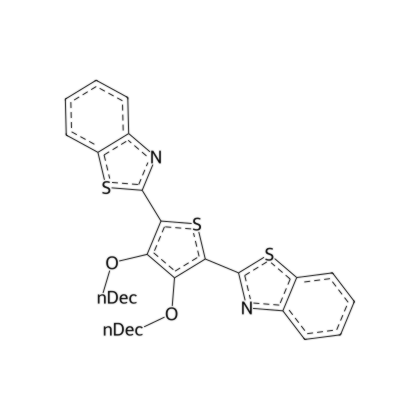 CCCCCCCCCCOc1c(-c2nc3ccccc3s2)sc(-c2nc3ccccc3s2)c1OCCCCCCCCCC